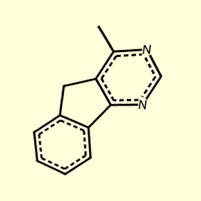 Cc1ncnc2c1Cc1ccccc1-2